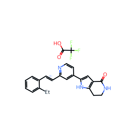 CCc1ccccc1/C=C/c1cc(-c2cc3c([nH]2)CCNC3=O)ccn1.O=C(O)C(F)(F)F